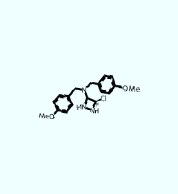 COc1ccc(CN(Cc2ccc(OC)cc2)C2NN[C@@H]2Cl)cc1